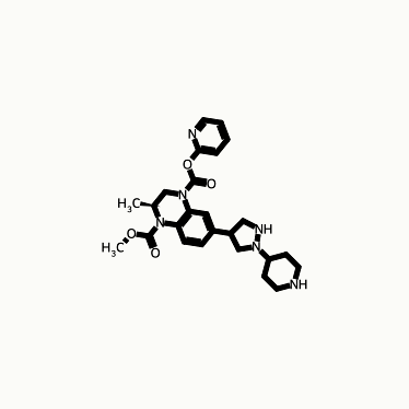 COC(=O)N1c2ccc(C3CNN(C4CCNCC4)C3)cc2N(C(=O)Oc2ccccn2)C[C@@H]1C